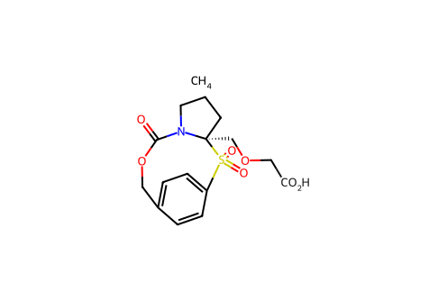 C.O=C(O)COC[C@@]12CCCN1C(=O)OCc1ccc(cc1)S2(=O)=O